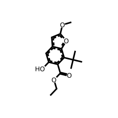 CCOC(=O)c1c(O)cc2cc(OC)oc2c1C(C)(C)C